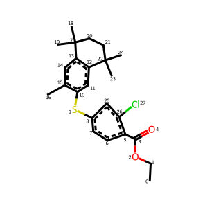 CCOC(=O)c1ccc(Sc2cc3c(cc2C)C(C)(C)CCC3(C)C)cc1Cl